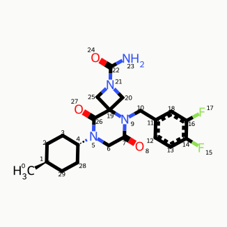 C[C@H]1CC[C@H](N2CC(=O)N(Cc3ccc(F)c(F)c3)C3(CN(C(N)=O)C3)C2=O)CC1